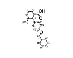 C=Cc1cccc(C(=O)O)c1-c1ccc(OCc2ccccc2)cc1